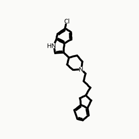 Clc1ccc2c(C3CCN(CCCC4Cc5ccccc5C4)CC3)c[nH]c2c1